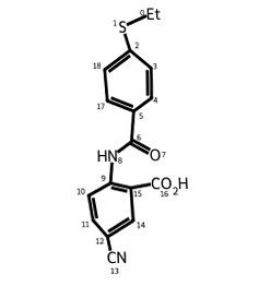 CCSc1ccc(C(=O)Nc2ccc(C#N)cc2C(=O)O)cc1